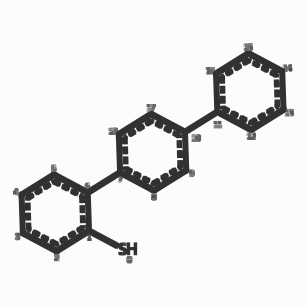 Sc1ccccc1-c1ccc(-c2ccccc2)cc1